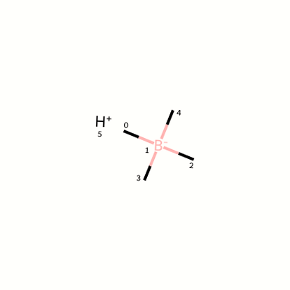 C[B-](C)(C)C.[H+]